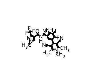 CC1=C(C#N)C(c2cc3c(NC(=O)c4cn(C)nc4C(F)(F)F)n[nH]c3c(I)c2F)C(C#N)=C(C)N1C